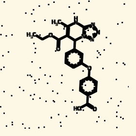 CCOC(=O)C1=C(C)Nc2nnnn2C1c1cccc(Oc2ccc(C(=O)O)cc2)c1